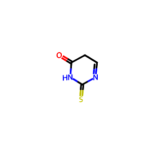 O=C1CC=NC(=S)N1